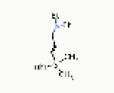 CCC[Si](C)(C)C=CCN(CC)CC